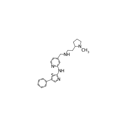 CN1CCCC1CCNCc1ccnc(Nc2ncc(-c3ccccc3)s2)c1